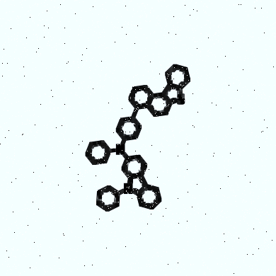 c1ccc(N(c2ccc(-c3cccc4c3ccc3sc5ccccc5c34)cc2)c2ccc3c4ccccc4n(-c4ccccc4)c3c2)cc1